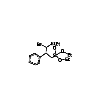 CCO[Si](CC(c1ccccc1)C(Br)CC)(OCC)OCC